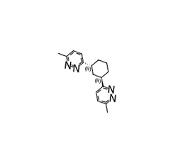 Cc1ccc([C@@H]2CCC[C@@H](c3ccc(C)nn3)C2)nn1